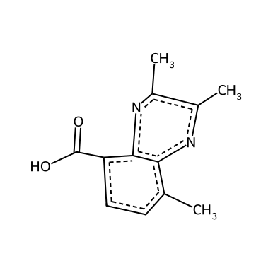 Cc1nc2c(C)ccc(C(=O)O)c2nc1C